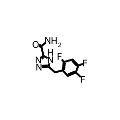 NC(=O)c1nnc(Cc2cc(F)c(F)cc2F)[nH]1